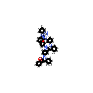 c1ccc(-n2c3ccc(-n4c5ccccc5c5c6ccccc6oc54)cc3c3c4ccccc4n(-c4cccc(-n5c6ccccc6n6c7ccccc7nc56)c4)c32)cc1